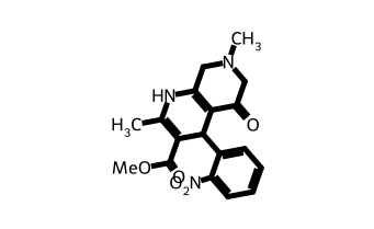 COC(=O)C1=C(C)NC2=C(C(=O)CN(C)C2)C1c1ccccc1[N+](=O)[O-]